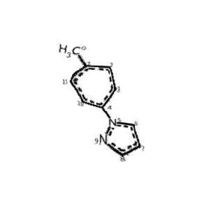 Cc1ccc(-n2cc[c]n2)cc1